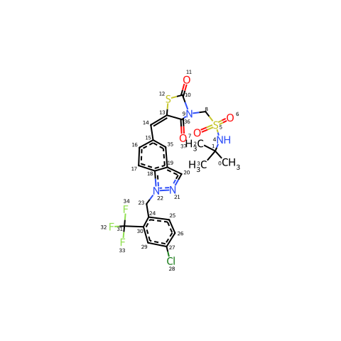 CC(C)(C)NS(=O)(=O)CN1C(=O)SC(=Cc2ccc3c(cnn3Cc3ccc(Cl)cc3C(F)(F)F)c2)C1=O